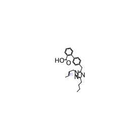 C/C=C/Cn1nc(CCCC)nc1Cc1ccc(-c2ccccc2C(=O)O)cc1